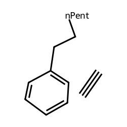 C#C.CCCCCCCc1ccccc1